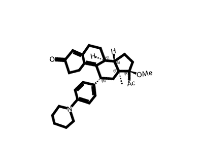 CO[C@]1(C(C)=O)CC[C@H]2[C@@H]3CCC4=CC(=O)CCC4=C3[C@@H](c3ccc(N4CCCCC4)cc3)C[C@@]21C